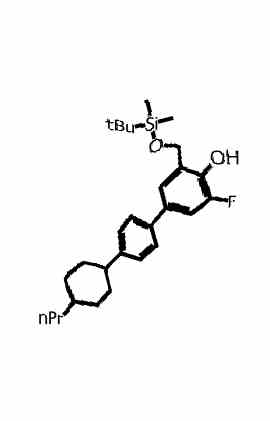 CCCC1CCC(c2ccc(-c3cc(F)c(O)c(CO[Si](C)(C)C(C)(C)C)c3)cc2)CC1